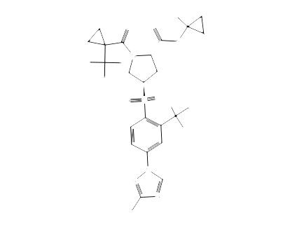 CC1(NC(=O)[C@@H]2C[C@@H](S(=O)(=O)c3ccc(-n4cnc(Cl)n4)cc3C(F)(F)F)CN2C(=O)C2(C(F)(F)F)CC2)CC1